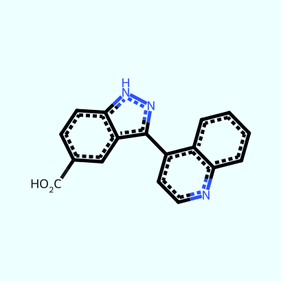 O=C(O)c1ccc2[nH]nc(-c3ccnc4ccccc34)c2c1